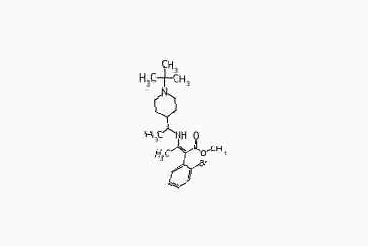 COC(=O)/C(=C(/C)NC(C)C1CCN(C(C)(C)C)CC1)c1ccccc1Br